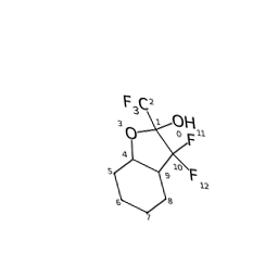 OC1(C(F)(F)F)OC2CCCCC2C1(F)F